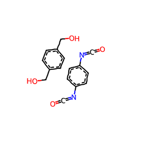 O=C=Nc1ccc(N=C=O)cc1.OCc1ccc(CO)cc1